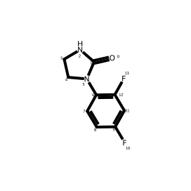 O=C1NCCN1c1ccc(F)cc1F